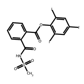 CS(=O)(=O)NC(=O)c1ccccc1C(=O)Oc1c(I)cc(I)cc1I